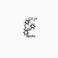 CC(=O)Nc1ccc(CCCc2ccc(C(=O)O)cc2)c(OCc2ccccc2)c1